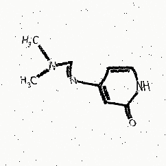 CN(C)/C=N/c1cc[nH]c(=O)c1